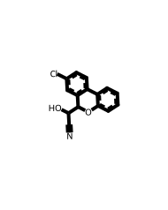 N#CC(O)C1Oc2ccccc2-c2ccc(Cl)cc21